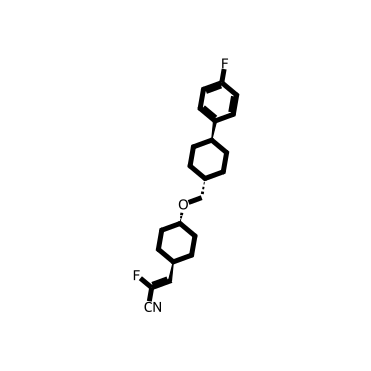 N#CC(F)=C[C@H]1CC[C@H](OC[C@H]2CC[C@H](c3ccc(F)cc3)CC2)CC1